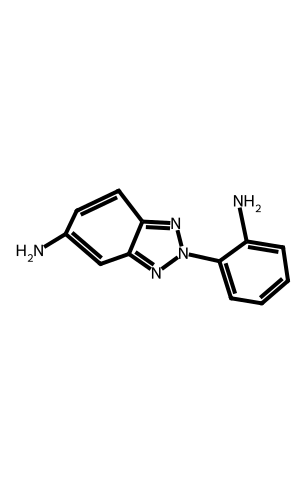 Nc1ccc2nn(-c3ccccc3N)nc2c1